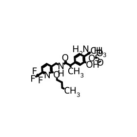 CCCCOc1nc(C(F)(F)F)ccc1CNC(=O)C(C)c1ccc(C(C)(N)O[SH](=O)=O)c(O)c1